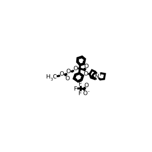 CCOC(=O)OCOC(C(=O)OC1CC2CCC(C1)[N+]21CCCC1)(c1ccccc1)c1ccccc1.O=C([O-])C(F)(F)F